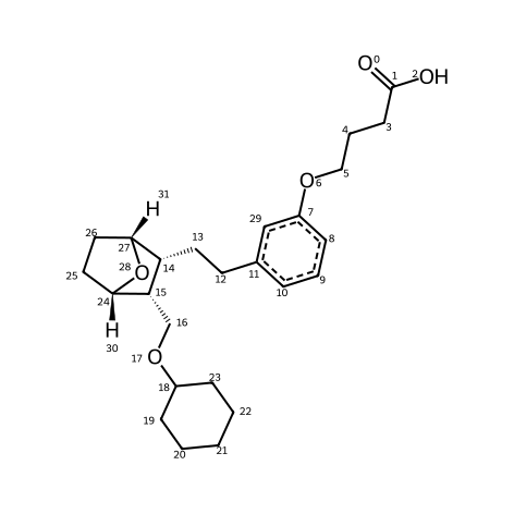 O=C(O)CCCOc1cccc(CC[C@@H]2[C@H](COC3CCCCC3)[C@@H]3CC[C@H]2O3)c1